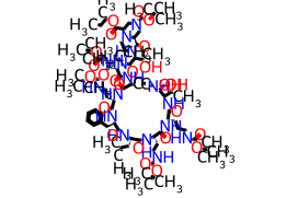 CCC(C)OC(=O)C1CN(C(=O)OC(C)(C)C)C[C@@H](C(=O)N[C@H](C(=O)N[C@@H](CNC(=O)OC(C)(C)C)C(=O)N[C@H]2CCNC(O)[C@H]([C@@H](C)O)NC(=O)[C@H](CCCNC(=O)OC(C)(C)C)NC(=O)[C@H](CCNC(=O)OC(C)(C)C)NC(=O)[C@H](CC(C)C)NC(=O)[C@@H](Cc3ccccc3)NC(=O)[C@H](CCNC(=O)OC(C)(C)C)NC2=O)[C@H](C)O)N1CC(C)C